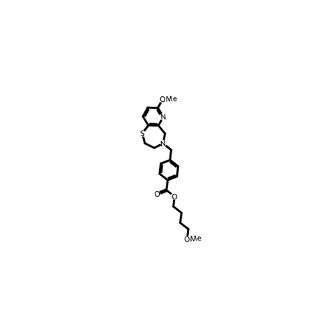 COCCCCOC(=O)c1ccc(CN2CCSc3ccc(OC)nc3C2)cc1